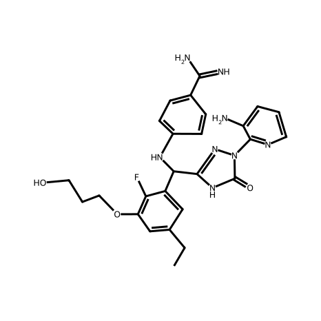 CCc1cc(OCCCO)c(F)c(C(Nc2ccc(C(=N)N)cc2)c2nn(-c3ncccc3N)c(=O)[nH]2)c1